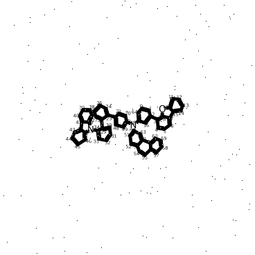 c1cc(-c2cccc3c2oc2ccccc23)cc(N(c2ccc(-c3ccccc3-c3ccccc3-n3c4ccccc4c4ccccc43)cc2)c2ccc3ccc4ccccc4c3c2)c1